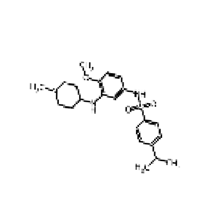 COc1ccc(NS(=O)(=O)c2ccc(C(C)C)cc2)cc1NC1CCN(C)CC1